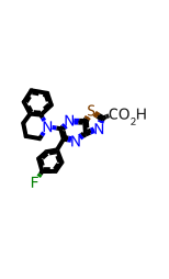 O=C(O)c1nc2nc(-c3ccc(F)cc3)c(N3CCCc4ccccc43)nc2s1